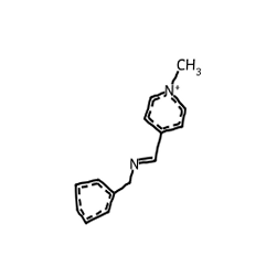 C[n+]1ccc(C=NCc2ccccc2)cc1